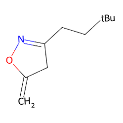 C=C1CC(CCC(C)(C)C)=NO1